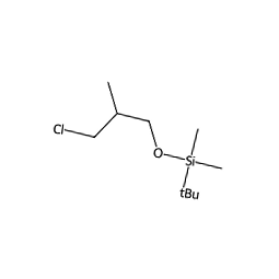 CC(CCl)CO[Si](C)(C)C(C)(C)C